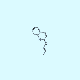 CC=COc1ccc2ccccc2n1